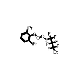 CCC(F)(F)C(F)(F)C(F)(F)SOOOc1c(C(C)C)cccc1C(C)C